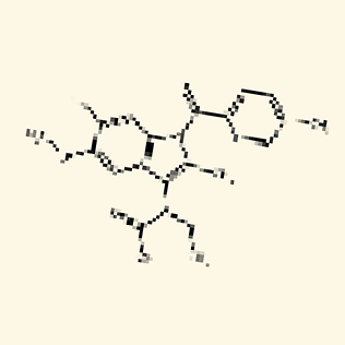 CCC(C(=O)O)c1c(C)n(C(=O)c2ccc(C)cc2)c2cc(Cl)c(OC)cc12